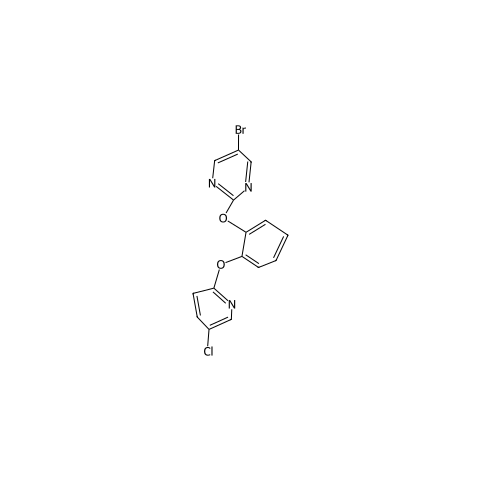 Clc1ccc(Oc2ccccc2Oc2ncc(Br)cn2)nc1